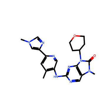 Cc1cc(-c2cn(C)cn2)ncc1Nc1ncc2c(n1)n(C1CCOCC1)c(=O)n2C